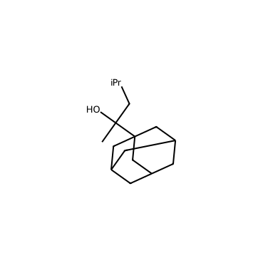 CC(C)CC(C)(O)C12CC3CC(CC(C3)C1)C2